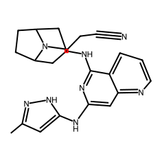 Cc1cc(Nc2cc3ncccc3c(NC3CC4CCC(C3)N4CCC#N)n2)[nH]n1